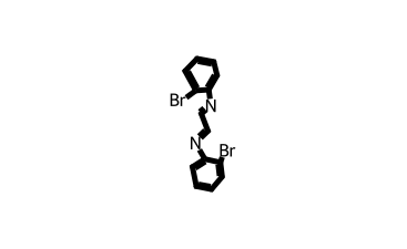 Brc1ccccc1N=CC=Nc1ccccc1Br